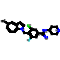 CCCC1C=CC=c2c(ccn2Cc2c(F)cc(C(=N)NC3CCNCC3)cc2Cl)=C1